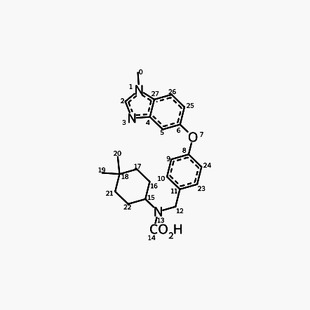 Cn1cnc2cc(Oc3ccc(CN(C(=O)O)C4CCC(C)(C)CC4)cc3)ccc21